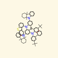 CC(C)(C)c1ccc2c(c1)B1c3ccc(N4c5ccccc5C5(C)CCCCC45C)cc3N(c3cccc4sc5ccccc5c34)c3cc(N4c5ccccc5C5(C)CCCCC45C)cc(c31)N2c1ccc(C(C)(C)C)cc1-c1ccccc1